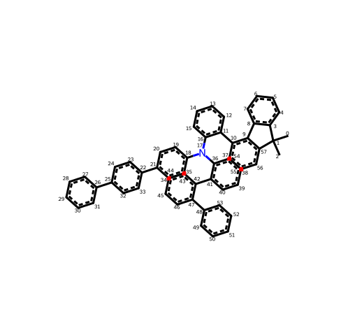 CC1(C)c2ccccc2-c2c(-c3ccccc3N(c3ccc(-c4ccc(-c5ccccc5)cc4)cc3)c3ccccc3-c3ccccc3-c3ccccc3)cccc21